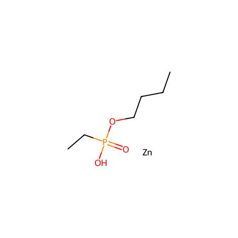 CCCCOP(=O)(O)CC.[Zn]